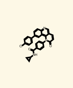 O=C(NC1CC1)c1ccc(-n2c(=O)ccc3cnc4ccc(-c5ccc(Cl)cc5)cc4c32)cc1